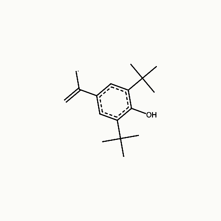 [CH2]C(=C)c1cc(C(C)(C)C)c(O)c(C(C)(C)C)c1